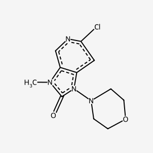 Cn1c(=O)n(N2CCOCC2)c2cc(Cl)ncc21